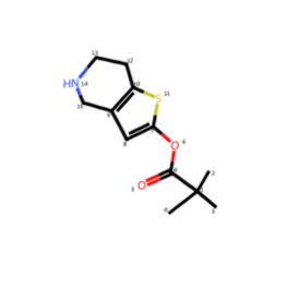 CC(C)(C)C(=O)Oc1cc2c(s1)CCNC2